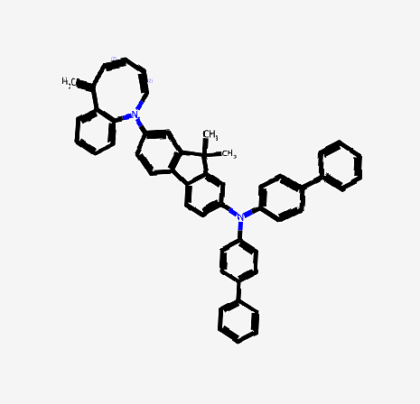 C=C1/C=C\C=C/N(c2ccc3c(c2)C(C)(C)c2cc(N(c4ccc(-c5ccccc5)cc4)c4ccc(-c5ccccc5)cc4)ccc2-3)c2ccccc21